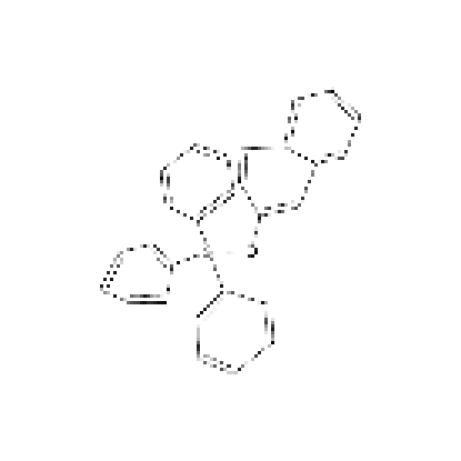 [c]1ccc2cc(O[Si](c3ccccc3)(c3ccccc3)c3ccccc3)ccc2c1